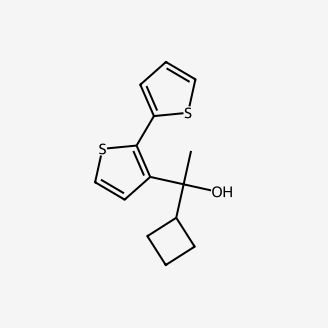 CC(O)(c1ccsc1-c1cccs1)C1CCC1